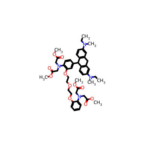 CCN(C)c1ccc2c(c1)Cc1cc(N(C)CC)ccc1C2c1ccc(N(CC(=O)OC)CC(=O)OC)c(OCCOCCOc2ccccc2N(CC(=O)OC)CC(=O)OC)c1